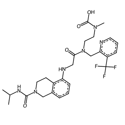 CC(C)NC(=O)N1CCc2c(cccc2NCC(=O)N(CCN(C)C(=O)O)Cc2ncccc2C(F)(F)F)C1